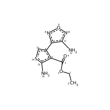 CCOC(=O)c1c(-c2nonc2N)csc1N